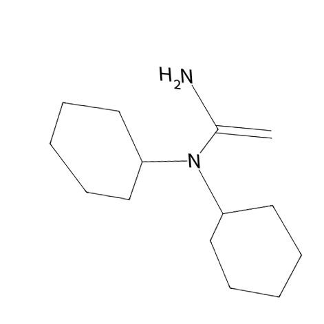 C=C(N)N(C1CCCCC1)C1CCCCC1